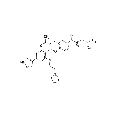 CC(C)CNC(=O)c1ccc2c(c1)CC(C(N)=O)C(c1ccc(-c3cn[nH]c3)cc1SCCN1CCCC1)O2